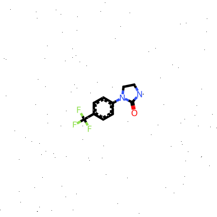 O=C1[N]CCN1c1ccc(C(F)(F)F)cc1